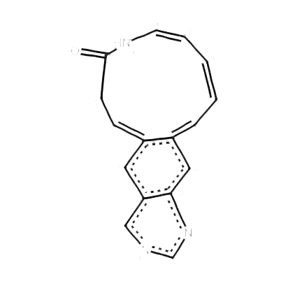 O=C1CC=c2cc3cncnc3cc2=CC=CC=CN1